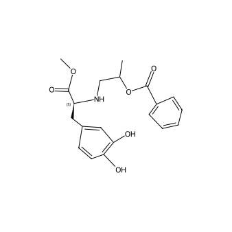 COC(=O)[C@H](Cc1ccc(O)c(O)c1)NCC(C)OC(=O)c1ccccc1